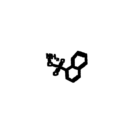 NOS(=O)(=O)c1cccc2ccccc12